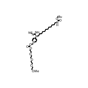 COCCOCCOCCOCCOC(=O)OC[n+]1ccc(N(CCCCCCCCCCCCNC(=O)OC(C)(C)C)C(N)=NC#N)cc1